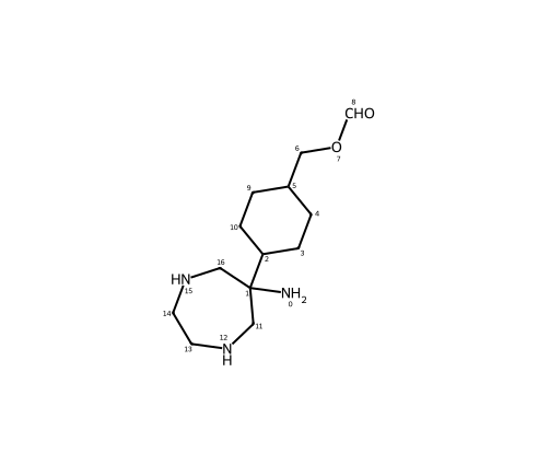 NC1(C2CCC(COC=O)CC2)CNCCNC1